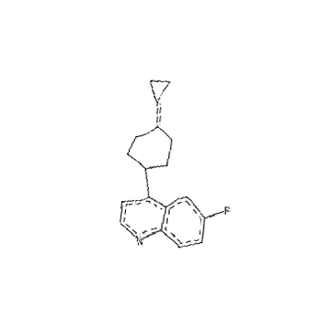 Fc1ccc2nccc(C3CCC(=C4CC4)CC3)c2c1